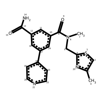 Cc1csc(CN(C)C(=O)c2cc(C(N)=O)cc(-c3ccncc3)c2)n1